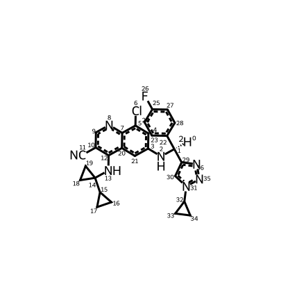 [2H][C@](Nc1cc(Cl)c2ncc(C#N)c(NC3(C4CC4)CC3)c2c1)(c1ccc(F)cc1)c1cn(C2CC2)nn1